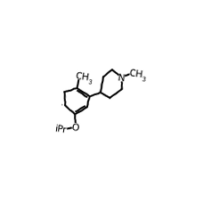 CC1=C(C2CCN(C)CC2)C=C(OC(C)C)[CH]C1